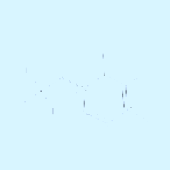 OC1C(Cl)=C(Cl)C=NN1CC(F)(F)F